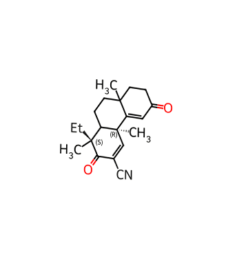 CC[C@]1(C)C(=O)C(C#N)=C[C@]2(C)C3=CC(=O)CCC3(C)CCC21